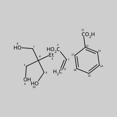 C=CC(=O)O.CCC(CO)(CO)CO.O=C(O)c1ccccc1